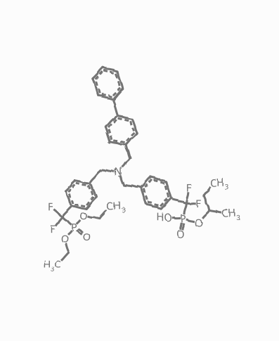 CCOP(=O)(OCC)C(F)(F)c1ccc(CN(Cc2ccc(-c3ccccc3)cc2)Cc2ccc(C(F)(F)P(=O)(O)OC(C)CC)cc2)cc1